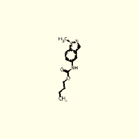 CCCCOC(=O)Nc1ccc2c(cnn2C)c1